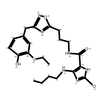 CCCCNc1nc(Cl)[nH]c1C(=O)NCCCc1nc(Cc2ccc(O)c(OCC)c2)no1